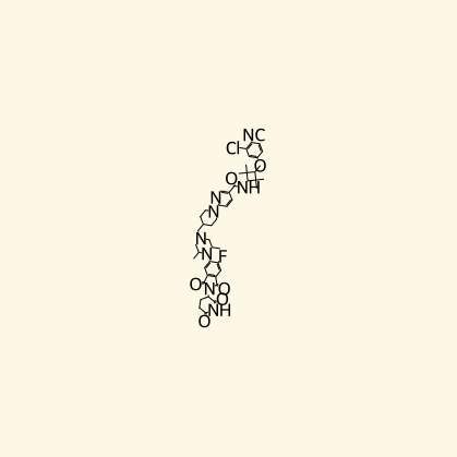 CC1CN(CC2CCN(c3ccc(C(=O)NC4C(C)(C)C(Oc5ccc(C#N)c(Cl)c5)C4(C)C)cn3)CC2)CC(C)N1c1cc2c(cc1F)C(=O)N(C1CCC(=O)NC1=O)C2=O